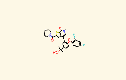 Cn1cc(-c2cc(C(C)(C)O)ccc2Oc2ccc(F)cc2F)c2cc(C(=O)N3CCCCC3)sc2c1=O